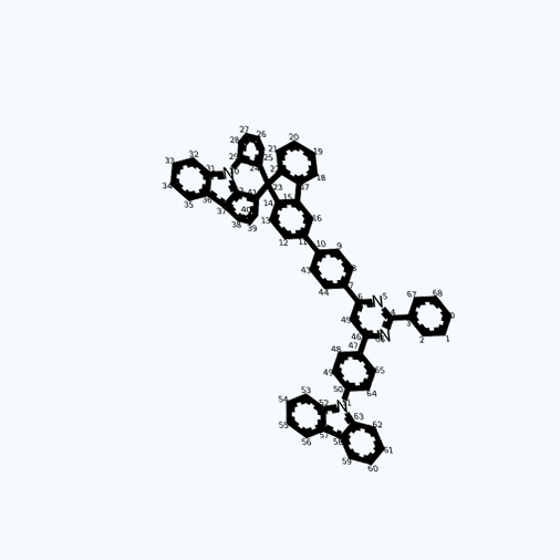 c1ccc(-c2nc(-c3ccc(-c4ccc5c(c4)-c4ccccc4C54c5ccccc5-n5c6ccccc6c6cccc4c65)cc3)cc(-c3ccc(-n4c5ccccc5c5ccccc54)cc3)n2)cc1